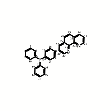 c1ccc(P(c2ccccc2)c2ccccc2)cc1.c1cnc2c(c1)ccc1cccnc12